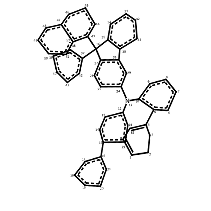 C1=CCCC(c2ccccc2N(c2ccc(-c3ccccc3)cc2)c2ccc3c(c2)-c2ccccc2C3(c2ccccc2)c2cccc3ccccc23)=C1